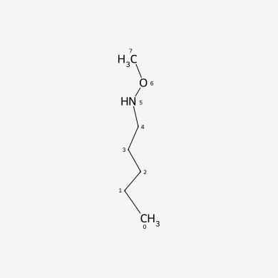 CCCCCNOC